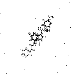 CCc1ccc(NC(=O)c2cnn3c(NCCN4CCOCC4)cc(C)nc23)cc1